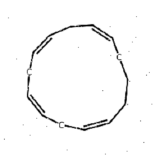 [CH]1C=CCC=CCC=CCC=CCC1